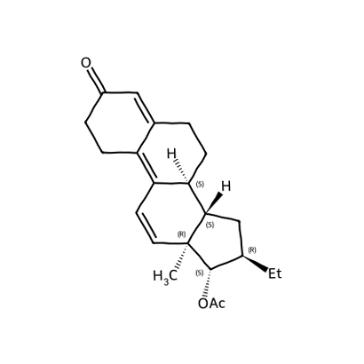 CC[C@@H]1C[C@H]2[C@@H]3CCC4=CC(=O)CCC4=C3C=C[C@]2(C)[C@H]1OC(C)=O